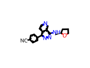 N#Cc1ccc(-c2nnc(NC[C@H]3CCCO3)c3cnccc23)cc1